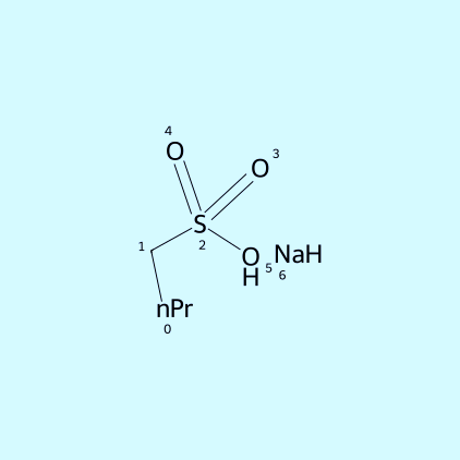 C[CH]CCS(=O)(=O)O.[NaH]